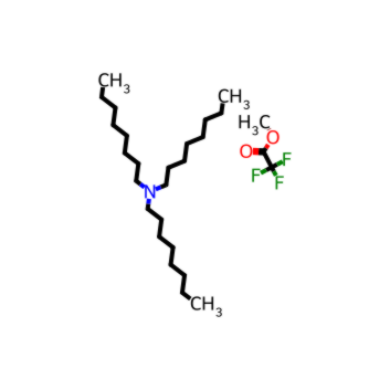 CCCCCCCCN(CCCCCCCC)CCCCCCCC.COC(=O)C(F)(F)F